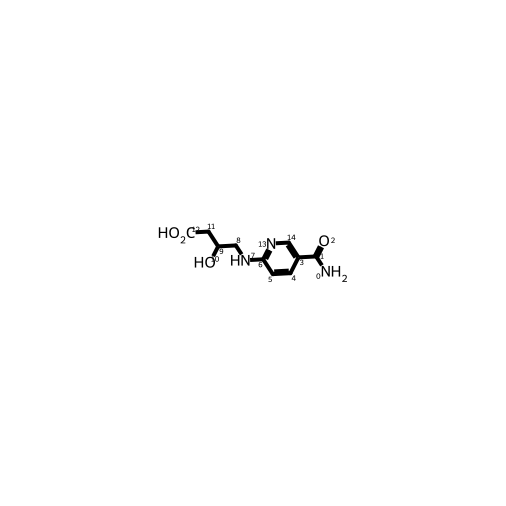 NC(=O)c1ccc(NCC(O)CC(=O)O)nc1